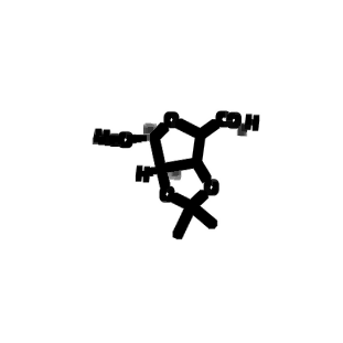 CO[C@@H]1OC(C(=O)O)C2OC(C)(C)O[C@H]21